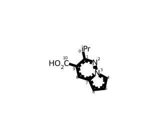 CC(C)c1nn2cccc2cc1C(=O)O